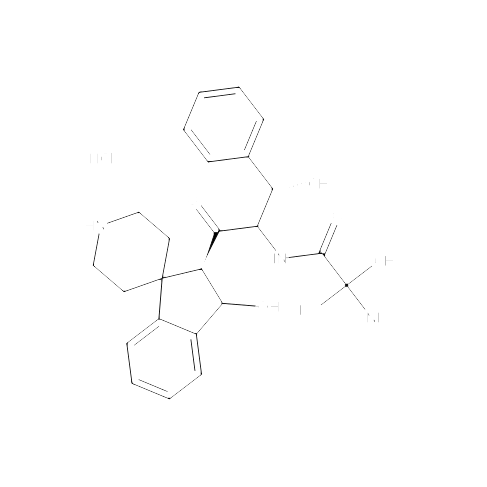 C[C@@H](c1ccccc1)C(NC(=O)C(C)(C)N)C(=O)[C@H]1C(O)c2ccccc2C12CCNCC2.Cl